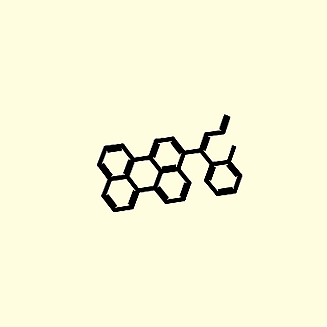 C=C/C=C(\c1ccccc1C)c1ccc2c3cccc4cccc(c5cccc1c52)c43